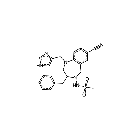 CS(=O)(=O)NN1Cc2cc(C#N)ccc2N(Cc2c[nH]cn2)CC1Cc1ccccc1